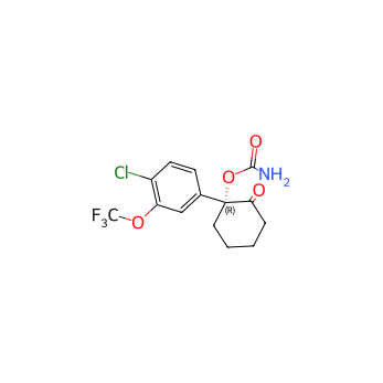 NC(=O)O[C@@]1(c2ccc(Cl)c(OC(F)(F)F)c2)CCCCC1=O